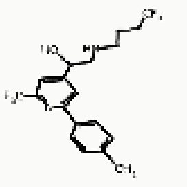 Cc1ccc(-c2cc(C(O)CNCCCC(F)(F)F)cc(C(F)(F)F)n2)cc1